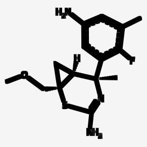 COC[C@]12C[C@H]1[C@@](C)(c1cc(N)cc(C)c1F)N=C(N)S2